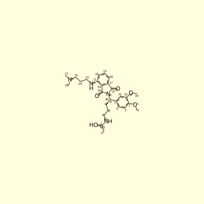 COc1ccc([C@@H](CCCNB(C)O)N2C(=O)c3cccc(NCCCN(C)C)c3C2=O)cc1OC